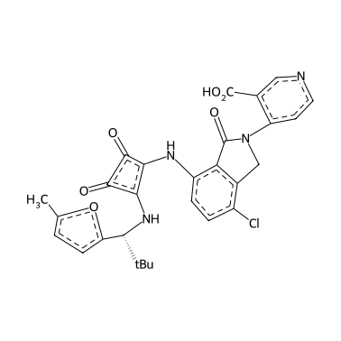 Cc1ccc([C@H](Nc2c(Nc3ccc(Cl)c4c3C(=O)N(c3ccncc3C(=O)O)C4)c(=O)c2=O)C(C)(C)C)o1